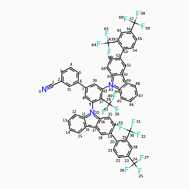 N#Cc1cccc(-c2cc(-n3c4ccccc4c4cc(-c5ccc(C(F)(F)F)cc5C(F)(F)F)ccc43)c(C(F)(F)F)c(-n3c4ccccc4c4cc(-c5ccc(C(F)(F)F)cc5C(F)(F)F)ccc43)c2)c1